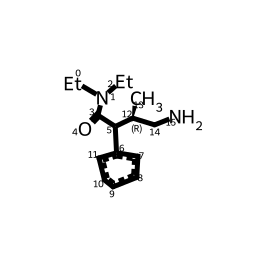 CCN(CC)C(=O)C(c1ccccc1)[C@@H](C)CN